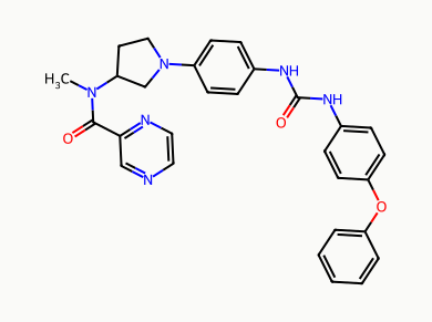 CN(C(=O)c1cnccn1)C1CCN(c2ccc(NC(=O)Nc3ccc(Oc4ccccc4)cc3)cc2)C1